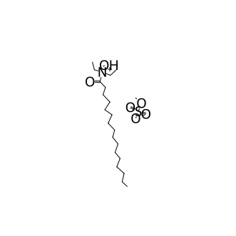 CCCCCCCCCCCCCCCC(=O)[N+](O)(CC)CC.COS(=O)(=O)[O-]